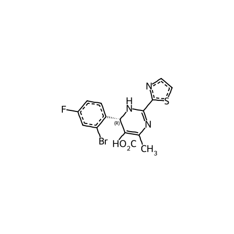 CC1=C(C(=O)O)[C@H](c2ccc(F)cc2Br)NC(c2nccs2)=N1